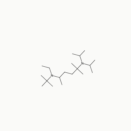 CCN(C(C)CCC(C)(C)N(C(C)C)C(C)C)C(C)(C)C